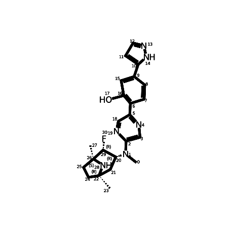 CN(c1cnc(-c2ccc(-c3ccn[nH]3)cc2O)cn1)[C@@H]1C[C@@]2(C)CC[C@](C)(N2)[C@@H]1F